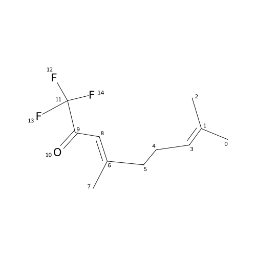 CC(C)=CCCC(C)=CC(=O)C(F)(F)F